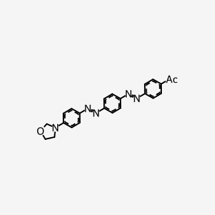 CC(=O)c1ccc(N=Nc2ccc(N=Nc3ccc(N4CCOC4)cc3)cc2)cc1